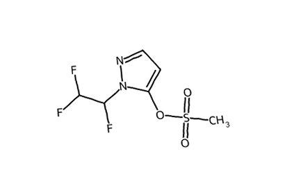 CS(=O)(=O)Oc1ccnn1C(F)C(F)F